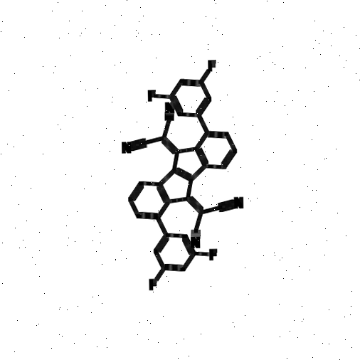 N#CC(C#N)=C1C2=C(C(=C(C#N)C#N)c3c2cccc3-c2cc(F)cc(F)c2)c2cccc(-c3cc(F)cc(F)c3)c21